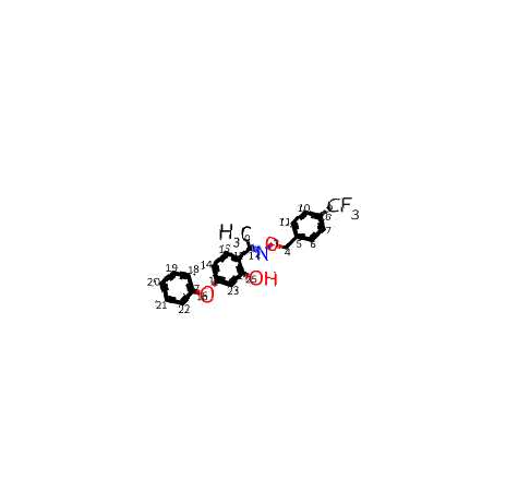 C/C(=N\OCc1ccc(C(F)(F)F)cc1)c1ccc(Oc2[c]cccc2)cc1O